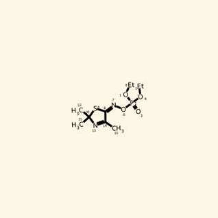 CCOP(=O)(OCC)ON=C1SC(C)(C)N=C1C